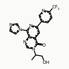 CC(CO)n1cnc2c(-n3ccnc3)nc(-c3ccc(C(F)(F)F)nc3)cc2c1=O